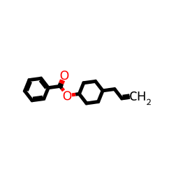 C=CCC1CCC(OC(=O)c2ccccc2)CC1